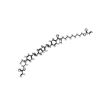 C=CC(=O)OCCCCCCCCCNC(=O)c1ccc(N=Nc2cc3sc(N=Nc4ccc(N(CC)CCOC(=O)C=C)cc4)nc3s2)cc1